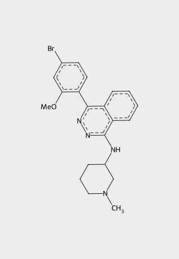 COc1cc(Br)ccc1-c1nnc(NC2CCCN(C)C2)c2ccccc12